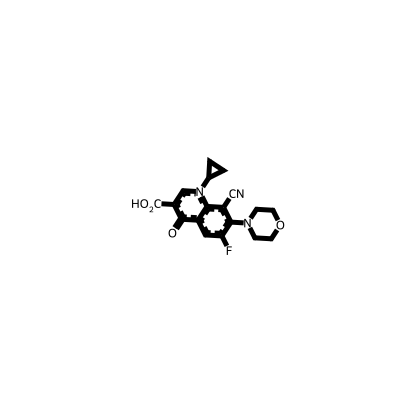 N#Cc1c(N2CCOCC2)c(F)cc2c(=O)c(C(=O)O)cn(C3CC3)c12